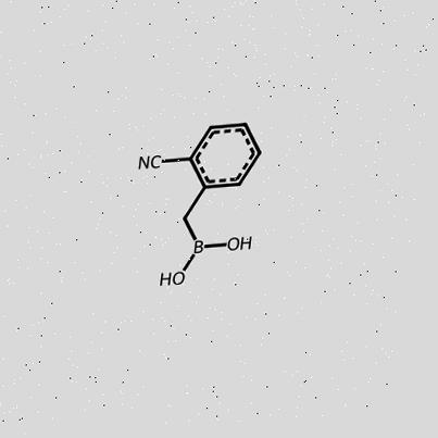 N#Cc1ccccc1CB(O)O